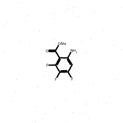 COC(=O)c1c(N)cc(F)c(F)c1F